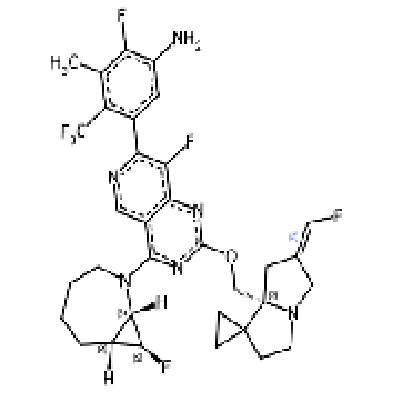 Cc1c(F)c(N)cc(-c2ncc3c(N4CCCC[C@H]5[C@H](F)[C@H]54)nc(OC[C@]45C/C(=C/F)CN4CCC54CC4)nc3c2F)c1C(F)(F)F